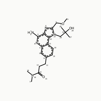 COCc1nc2c(N)nc3cc(CCC(=O)N(C)C)ccc3c2n1CC(C)(C)O